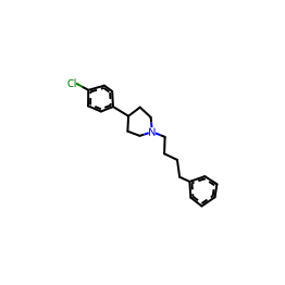 Clc1ccc(C2CCN(CCCCc3ccccc3)CC2)cc1